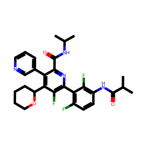 CC(C)NC(=O)c1nc(-c2c(F)ccc(NC(=O)C(C)C)c2F)c(F)c(C2CCCCO2)c1-c1cccnc1